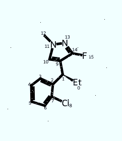 CC[C@@H](c1ccccc1Cl)c1cn(C)nc1F